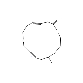 CC1C/C=C/CCCC/C=C/CC(=O)OCCC1